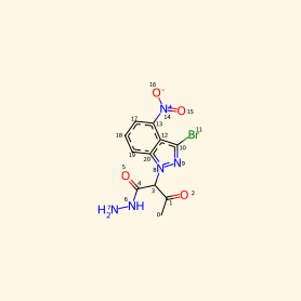 CC(=O)C(C(=O)NN)n1nc(Br)c2c([N+](=O)[O-])cccc21